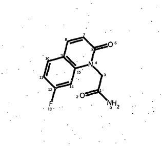 NC(=O)Cn1c(=O)ccc2ccc(F)cc21